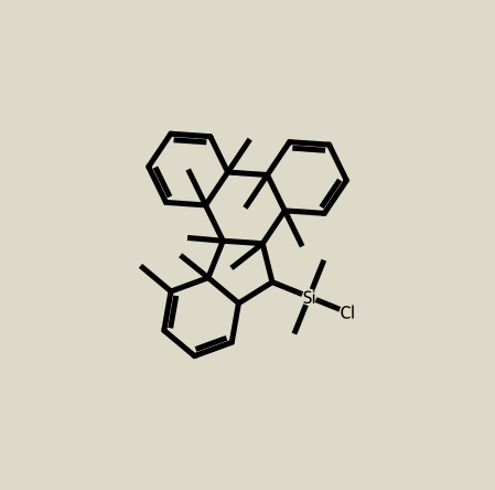 CC1=CC=CC2C([Si](C)(C)Cl)C3(C)C4(C)C=CC=CC4(C)C4(C)C=CC=CC4(C)C3(C)C12C